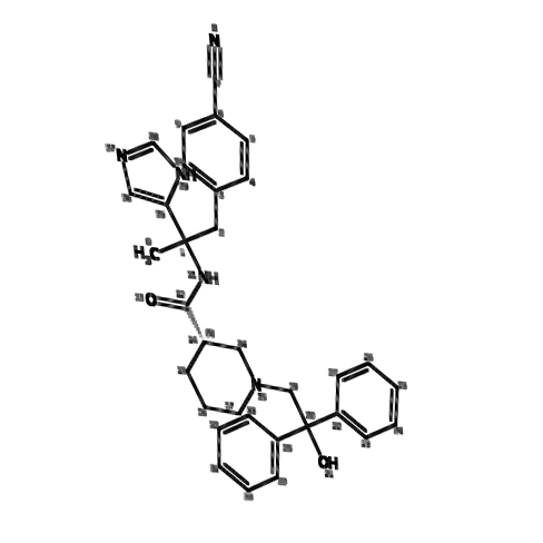 CC(Cc1ccc(C#N)cc1)(NC(=O)[C@H]1CCCN(CC(O)(c2ccccc2)c2ccccc2)C1)c1cnc[nH]1